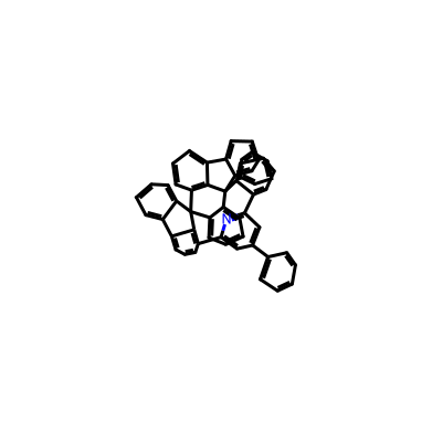 c1ccc(-c2cc(-c3ccccc3)nc(-c3cccc4c3C3(c5ccccc5-4)c4ccccc4C4(c5ccccc5)c5ccccc5-c5cccc3c54)c2)cc1